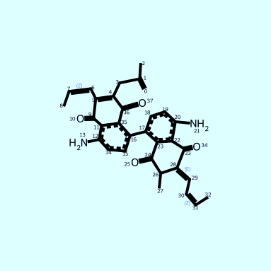 C=C(C)CC1=C(/C=C\C)C(=O)c2c(N)ccc(-c3ccc(N)c4c3C(=O)C(C)/C(=C\C=C/C)C4=O)c2C1=O